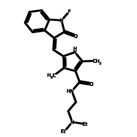 CCN(CC)CCNC(=O)c1c(C)[nH]c(/C=C2\C(=O)N(F)c3ccccc32)c1C